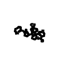 O=C(c1ccc(-c2ccccn2)s1)N1CCN2C(=O)c3ccncc3C12c1ccc(Cl)cc1